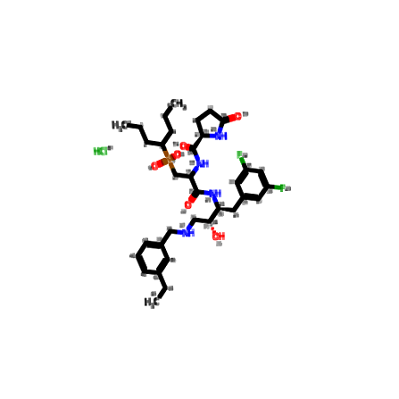 CCCC(CCC)S(=O)(=O)CC(NC(=O)[C@H]1CCC(=O)N1)C(=O)N[C@@H](Cc1cc(F)cc(F)c1)[C@H](O)CNCc1cccc(CC)c1.Cl